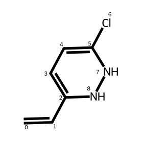 C=CC1=CC=C(Cl)NN1